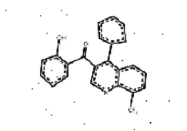 O=C(c1ccccc1O)c1cnc2c(C(F)(F)F)cccc2c1-c1ccccc1